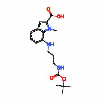 Cn1c(C(=O)O)cc2cccc(NCCCNC(=O)OC(C)(C)C)c21